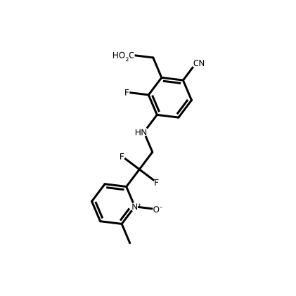 Cc1cccc(C(F)(F)CNc2ccc(C#N)c(CC(=O)O)c2F)[n+]1[O-]